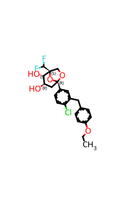 CCOc1ccc(Cc2cc([C@]34C[C@@H](O)[C@H](O)[C@](C(F)F)(CO3)O4)ccc2Cl)cc1